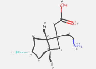 NC[C@@]1(CC(=O)O)C[C@@H]2C[C@H](F)C[C@@H]21